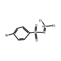 CC[PH](CC)=NS(=O)(=O)c1ccc(Br)cc1